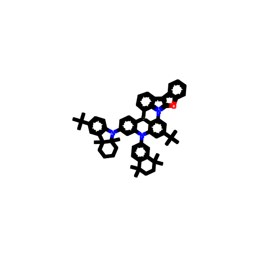 CC(C)(C)c1cc2c3c(c1)-n1c4oc5ccccc5c4c4cccc(c41)B3c1ccc(N3c4ccc(C(C)(C)C)cc4C4(C)CCCCC34C)cc1N2c1ccc2c(c1)C(C)(C)CCC2(C)C